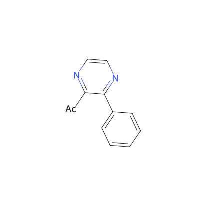 CC(=O)c1nccnc1-c1ccccc1